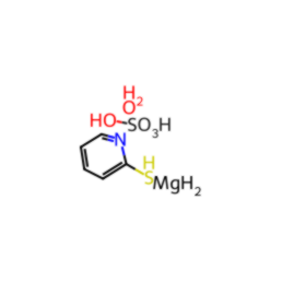 O.O=S(=O)(O)O.Sc1ccccn1.[MgH2]